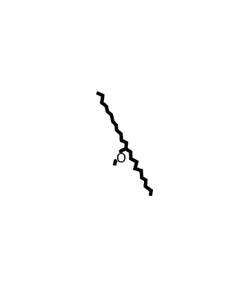 CCCCCCCCCCCCC(CCCCCCCCCC)COCC